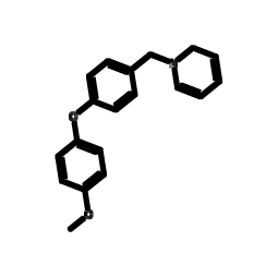 COc1ccc(Oc2ccc(CN3C=CC=CC3)cc2)cc1